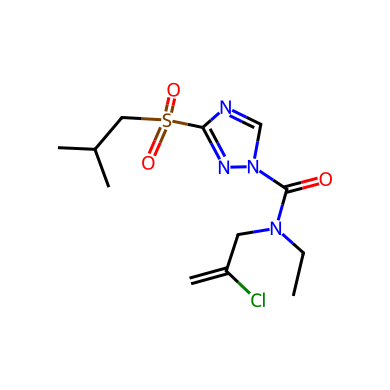 C=C(Cl)CN(CC)C(=O)n1cnc(S(=O)(=O)CC(C)C)n1